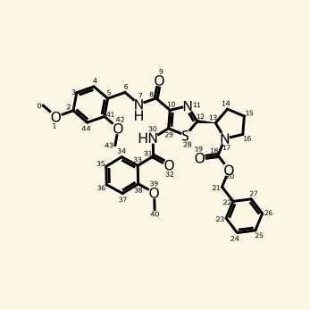 COc1ccc(CNC(=O)c2nc([C@H]3CCCN3C(=O)OCc3ccccc3)sc2NC(=O)c2ccccc2OC)c(OC)c1